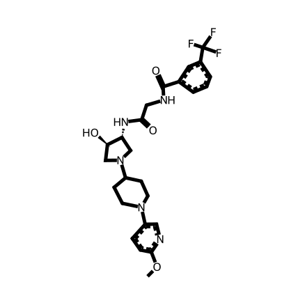 COc1ccc(N2CCC(N3C[C@@H](O)[C@H](NC(=O)CNC(=O)c4cccc(C(F)(F)F)c4)C3)CC2)cn1